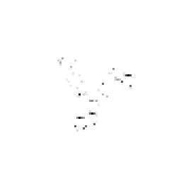 CCC(=O)N(c1ccccc1)C1CCN(C(=O)[C@@H](Cc2cccc3ccccc23)NC(=O)C2CCN(C(=O)OC(C)(C)C)CC2)CC1